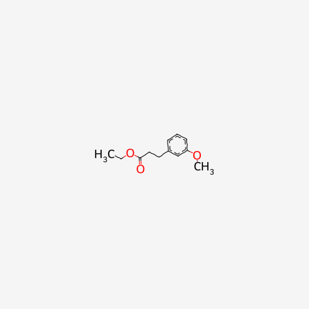 CCOC(=O)CCc1cccc(OC)c1